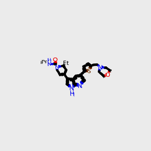 CCC1CC(c2c[nH]c3ncc(-c4ccc(CN5CCOCC5)s4)cc23)=CCN1C(=O)NC(C)C